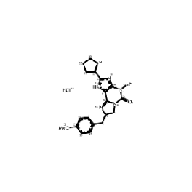 CCCN1C(=O)N2CC(Cc3ccc(OC)cc3)N=C2c2[nH]c(C3CCCC3)nc21.Cl